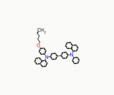 C=CCCCOc1ccc(N(c2ccc(-c3ccc(N(c4ccccc4)c4cccc5ccccc45)cc3)cc2)c2cccc3ccccc23)cc1